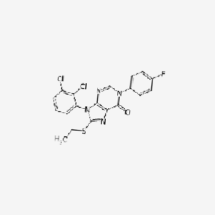 CCSc1nc2c(=O)n(-c3ccc(F)cc3)cnc2n1-c1cccc(Cl)c1Cl